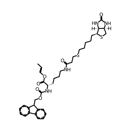 C/C=C/OC(=O)[C@H](CCCCNC(=O)CCSCCCCC[C@@H]1SC[C@@H]2NC(=O)N[C@@H]21)NC(=O)OCC1c2ccccc2-c2ccccc21